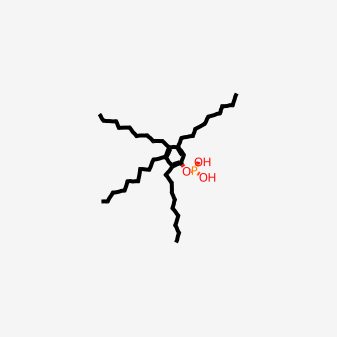 CCCCCCCCCc1cc(OP(O)O)c(CCCCCCCCC)c(CCCCCCCCC)c1CCCCCCCCC